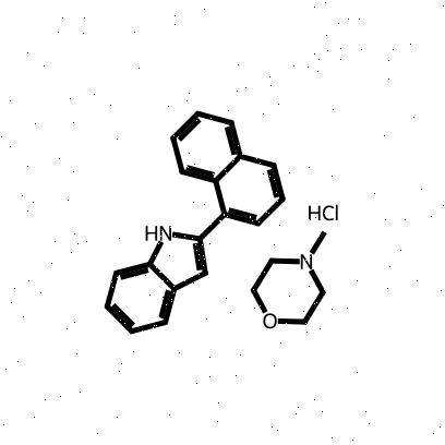 CN1CCOCC1.Cl.c1ccc2[nH]c(-c3cccc4ccccc34)cc2c1